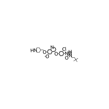 COc1cc2c(Oc3ccc(NC(=O)NCCC(C)(C)C)c(Cl)c3)ccnc2cc1OCC1CCNCC1